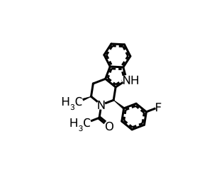 CC(=O)N1[C@H](c2cccc(F)c2)c2[nH]c3ccccc3c2C[C@@H]1C